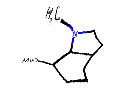 COC1CCC2CCN(C)C21